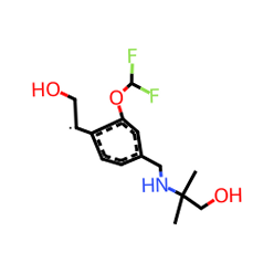 CC(C)(CO)NCc1ccc([CH]CO)c(OC(F)F)c1